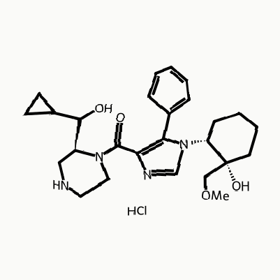 COC[C@]1(O)CCCC[C@H]1n1cnc(C(=O)N2CCNC[C@H]2C(O)C2CC2)c1-c1ccccc1.Cl